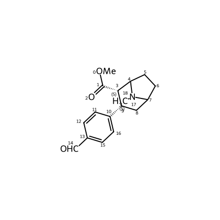 COC(=O)[C@@H]1C2CCC(C[C@@H]1c1ccc(C=O)cc1)N2C